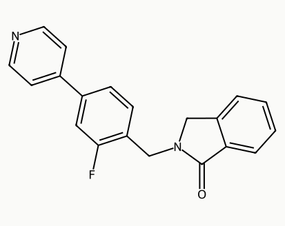 O=C1c2ccccc2CN1Cc1ccc(-c2ccncc2)cc1F